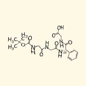 CC(C)(C)OC(=O)NCC(=O)NCC(=O)N[C@H](C(=O)NCC(=O)O)c1ccccc1